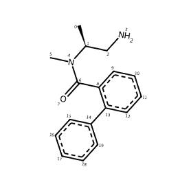 C[C@@H](CN)N(C)C(=O)c1ccccc1-c1ccccc1